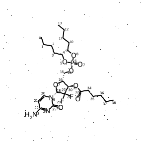 CCCCCOP(=O)(OCCCCC)OC[C@H]1O[C@@H](n2ccc(N)nc2=O)C(F)(F)[C@@H]1OC(=O)CCCCC